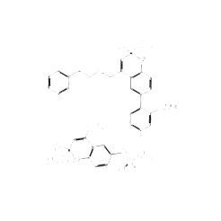 CC1=CC(C)(C)Nc2ccc(OS(=O)(=O)C(F)(F)F)cc21.CSc1ccccc1-c1ccc2c(c1)C(CSCCc1ccccc1)=CC(C)(C)N2